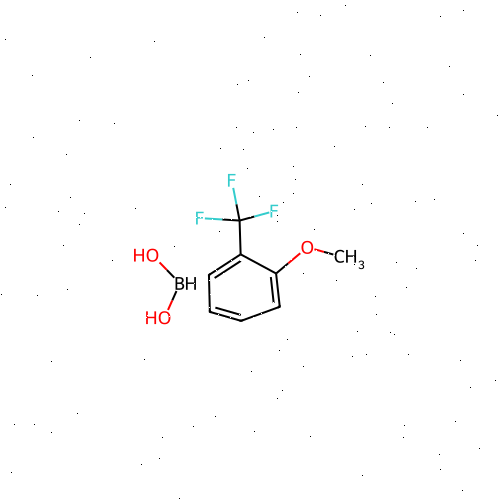 COc1ccccc1C(F)(F)F.OBO